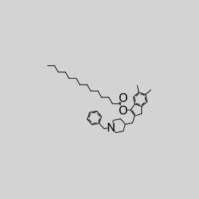 CCCCCCCCCCCCCC(=O)OC1=C(CC2CCN(Cc3ccccc3)CC2)Cc2cc(C)c(C)cc21